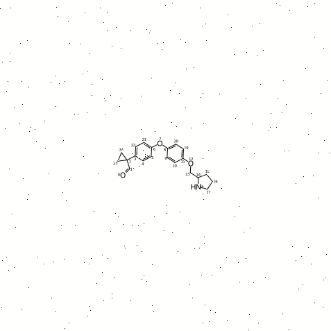 O=CC1(c2ccc(Oc3ccc(OCC4CCCN4)cc3)cc2)CC1